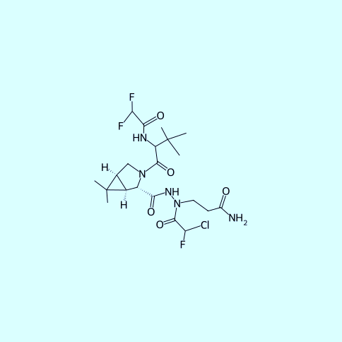 CC(C)(C)C(NC(=O)C(F)F)C(=O)N1C[C@H]2[C@@H]([C@H]1C(=O)NN(CCC(N)=O)C(=O)C(F)Cl)C2(C)C